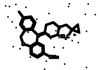 COc1ccc2c(c1)C(=C1CCN(CC3(C(=O)O)CC3)CC1)c1ccc(C)cc1CO2